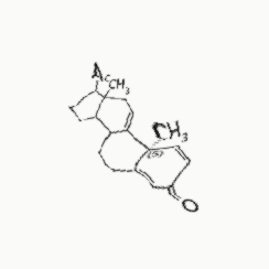 CC(=O)C1CCC2C3CCC4=CC(=O)C=C[C@]4(C)C3=CCC12C